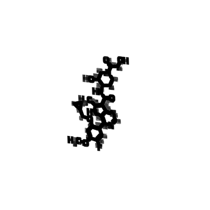 COc1cc(OCC2CC2)c(-c2ncnc3c(C(=O)N[C@@H]4CCN(C(=O)CO)C[C@@H]4O)c(C)[nH]c23)cc1F